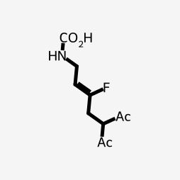 CC(=O)C(CC(F)=CCNC(=O)O)C(C)=O